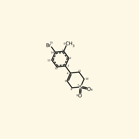 Cc1cc(C2=CCS(=O)(=O)CC2)ccc1Br